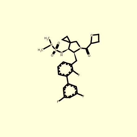 CN(C)S(=O)(=O)N[C@@H]1[C@H](Cc2cccc(-c3cc(F)cc(F)c3)c2F)N(C(=O)C2CCO2)CC12CC2